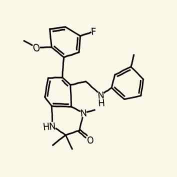 COc1ccc(F)cc1-c1ccc2c(c1CNc1cccc(C)c1)N(C)C(=O)C(C)(C)N2